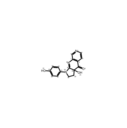 O=C1c2ccncc2N=C2N(c3ccc(O)cc3)CCC12O